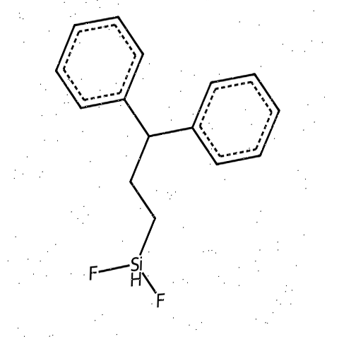 F[SiH](F)CCC(c1ccccc1)c1ccccc1